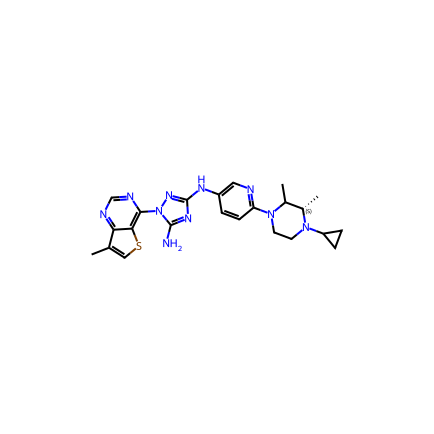 Cc1csc2c(-n3nc(Nc4ccc(N5CCN(C6CC6)[C@@H](C)C5C)nc4)nc3N)ncnc12